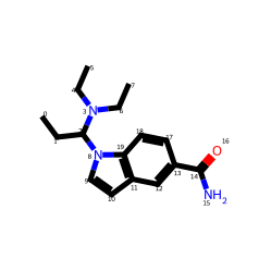 CCC(N(CC)CC)n1ccc2cc(C(N)=O)ccc21